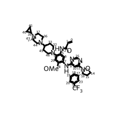 C=CC(=O)Nc1cc(Nc2cc(N3OCC[C@@H]3c3cccc(C(F)(F)F)c3)ncn2)c(OC)cc1N1CCC(N2CCN(C3CC3)[C@@H](C)C2)CC1